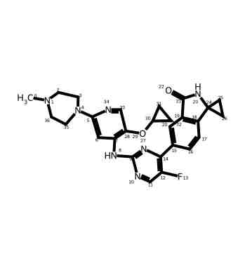 CN1CCN(c2cc(Nc3ncc(F)c(-c4ccc5c(c4)C(=O)NC54CC4)n3)c(OC3CC3)cn2)CC1